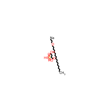 CCCCCCCCCCCCCCCCCCOCC[CH2][Na].O=C(O)CC(C(=O)O)S(=O)(=O)O